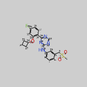 CS(=O)(=O)Cc1cccc(Nc2ncnc(-c3ccc(F)cc3OC3CCC3)n2)c1